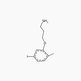 Cc1ccc(I)cc1OCCC[SiH3]